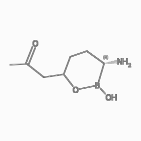 CC(=O)CC1CC[C@H](N)B(O)O1